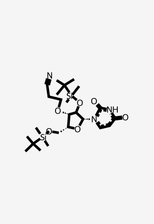 CC(C)(C)[Si](C)(C)OC[C@H]1O[C@@H](n2ccc(=O)[nH]c2=O)C(O[Si](C)(C)C(C)(C)C)[C@H]1OCCC#N